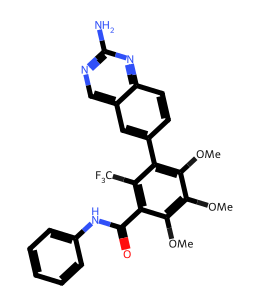 COc1c(OC)c(C(=O)Nc2ccccc2)c(C(F)(F)F)c(-c2ccc3nc(N)ncc3c2)c1OC